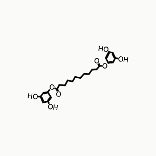 O=C(CCCCCCCCCCC(=O)Oc1cc(O)cc(O)c1)Oc1cc(O)cc(O)c1